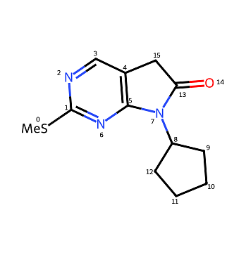 CSc1ncc2c(n1)N(C1CCCC1)C(=O)C2